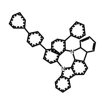 C1=CC2c3ccc4c5ccccc5n(-c5ccc(-c6ccc(-c7ccccc7)cc6)cc5)c4c3N(c3ccccc3-c3ccccc3)C2C=C1